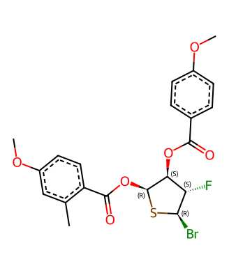 COc1ccc(C(=O)O[C@H]2[C@H](F)[C@@H](Br)S[C@H]2OC(=O)c2ccc(OC)cc2C)cc1